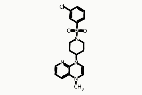 CN1C=CN(C2CCN(S(=O)(=O)c3cccc(Cl)c3)CC2)c2ncccc21